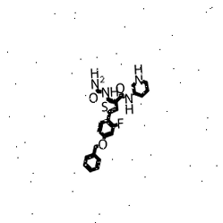 NC(=O)Nc1sc(-c2ccc(OCc3ccccc3)cc2F)cc1C(=O)N[C@H]1CCCNC1